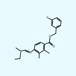 CCN(C)/C=N/c1ccc(C(=O)OCc2cccc(F)c2)c(C)c1C